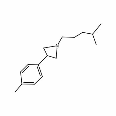 Cc1ccc(C2CN(CCCC(C)C)C2)cc1